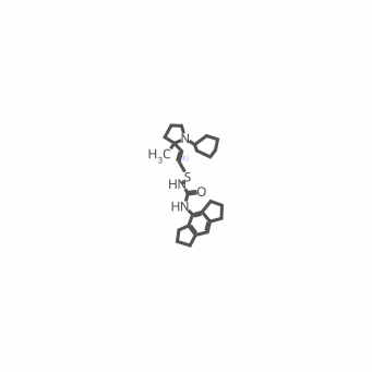 CC1(/C=C/SNC(=O)Nc2c3c(cc4c2CCC4)CCC3)CCCN1C1CCCCC1